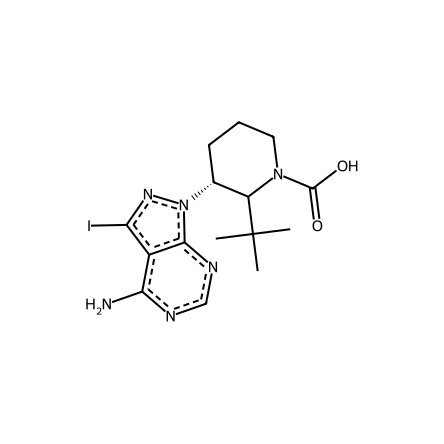 CC(C)(C)C1[C@H](n2nc(I)c3c(N)ncnc32)CCCN1C(=O)O